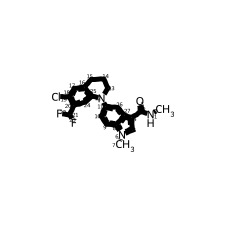 CNC(=O)c1cn(C)c2ccc(N3CCCc4cc(Cl)c(C(F)F)cc43)cc12